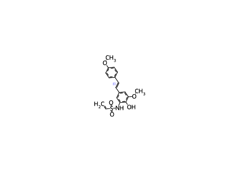 C=CS(=O)(=O)Nc1cc(/C=C/c2ccc(OC)cc2)cc(OC)c1O